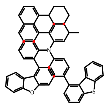 CC1C=C(N(c2ccc(-c3cccc4sc5ccccc5c34)cc2)c2ccccc2-c2cccc3oc4ccccc4c23)C(c2cccc3cccc(C4CCCCC4)c23)=CC1